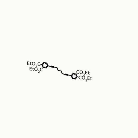 CCOC(=O)c1ccc(C#CCCCCC#Cc2ccc(C(=O)OCC)c(C(=O)OCC)c2)cc1C(=O)OCC